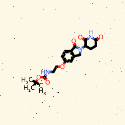 CC(C)(C)OC(=O)NCCOc1ccc2c(c1)CN(C1CCC(=O)NC1=O)C2=O